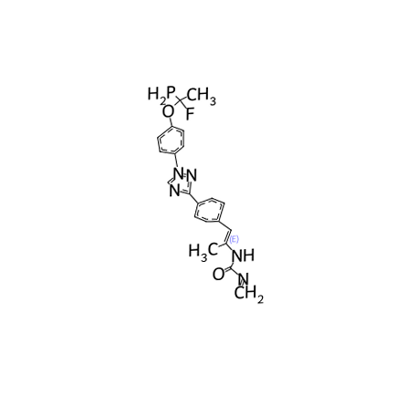 C=NC(=O)N/C(C)=C/c1ccc(-c2ncn(-c3ccc(OC(C)(F)P)cc3)n2)cc1